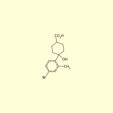 Cc1cc(Br)ccc1C1(O)CCC(C(=O)O)CC1